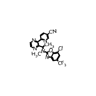 CC(c1nccnc1-c1ccc(C#N)cn1)N(C)c1nc2cc(C(F)(F)F)cc(Cl)c2o1